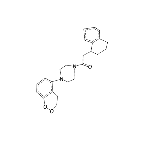 O=C(CC1CCCc2ccccc21)N1CCN(c2cccc3c2CCOO3)CC1